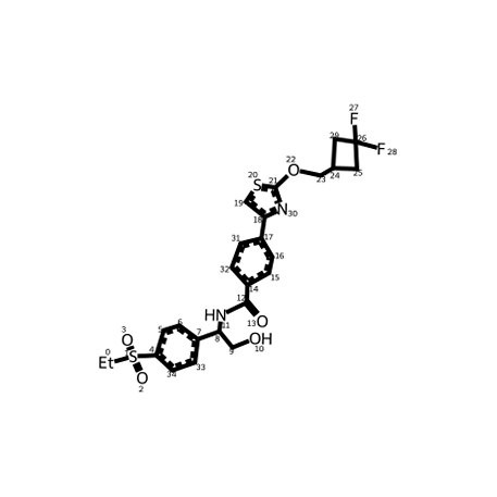 CCS(=O)(=O)c1ccc(C(CO)NC(=O)c2ccc(-c3csc(OCC4CC(F)(F)C4)n3)cc2)cc1